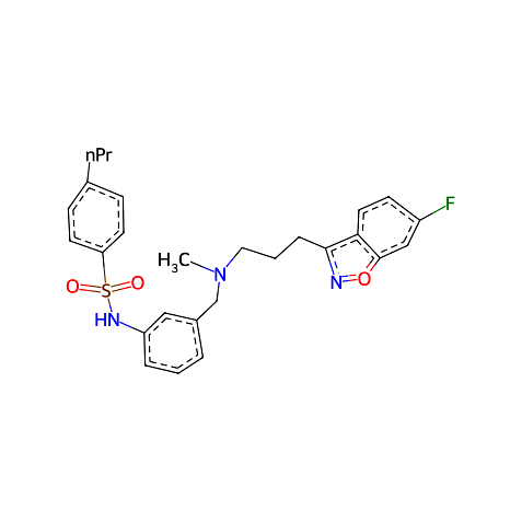 CCCc1ccc(S(=O)(=O)Nc2cccc(CN(C)CCCc3noc4cc(F)ccc34)c2)cc1